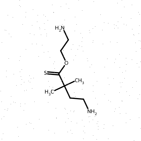 CC(C)(CCN)C(=S)OCCN